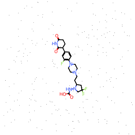 O=C(O)NN1CC(F)(F)CC1CCN1CCN(c2ccc(C3CCC(=O)NC3=O)cc2F)CC1